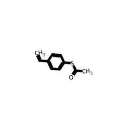 C=Cc1ccc(SC(C)=O)cc1